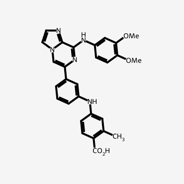 COc1ccc(Nc2nc(-c3cccc(Nc4ccc(C(=O)O)c(C)c4)c3)cn3ccnc23)cc1OC